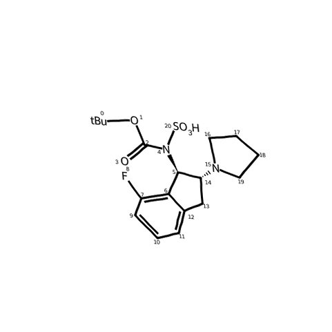 CC(C)(C)OC(=O)N([C@@H]1c2c(F)cccc2C[C@H]1N1CCCC1)S(=O)(=O)O